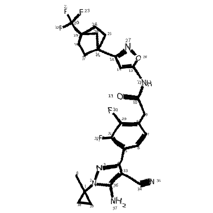 CC1(n2nc(-c3ccc(CC(=O)Nc4cc(C56CCC(C(F)(F)F)(CC5)C6)no4)c(F)c3F)c(C#N)c2N)CC1